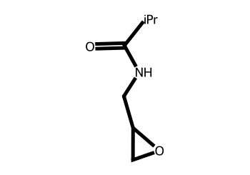 CC(C)C(=O)NCC1CO1